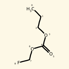 CCCOC(=O)OCF